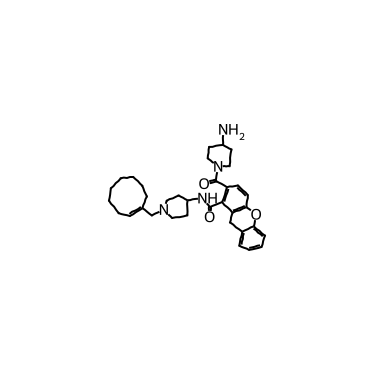 NC1CCN(C(=O)c2ccc3c(c2C(=O)NC2CCN(CC4=CCCCCCCC4)CC2)Cc2ccccc2O3)CC1